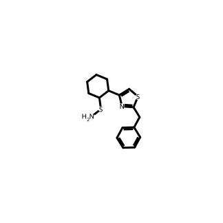 NSC1CCCCC1c1csc(Cc2ccccc2)n1